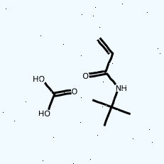 C=CC(=O)NC(C)(C)C.O=C(O)O